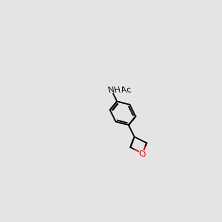 CC(=O)Nc1ccc(C2COC2)cc1